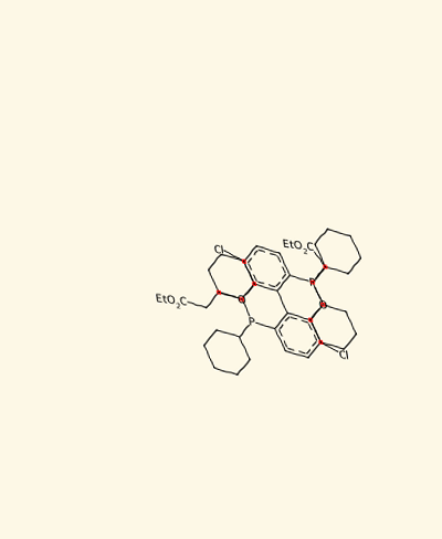 CCOC(=O)CCOc1c(Cl)ccc(P(C2CCCCC2)C2CCCCC2)c1-c1c(P(C2CCCCC2)C2CCCCC2)ccc(Cl)c1OCCC(=O)OCC